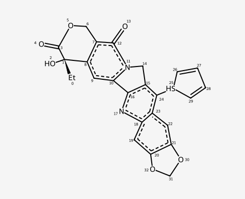 CC[C@@]1(O)C(=O)OCc2c1cc1n(c2=O)Cc2c-1nc1cc3c(cc1c2[SH]1C=CC=C1)OCO3